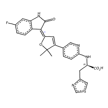 CC1(C)O/C(=C2/C(=O)Nc3cc(F)ccc32)C=C1c1ccc(N[C@H](Cc2cscn2)C(=O)O)nc1